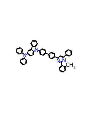 Cc1ccccc1-c1nc(-c2ccccc2)cc(-c2ccc(-c3ccc(-n4c5ccccc5c5cc(N(c6ccccc6)c6ccccc6)ccc54)cc3)cc2)n1